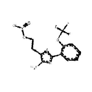 Cc1nc(-c2ccccc2OC(F)(F)F)sc1CCO[N+](=O)[O-]